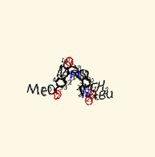 COC(=O)c1ccc(C2C3CCOC3CCN2Cc2c(OC)cc(C)c3c2ccn3C(=O)OC(C)(C)C)cc1